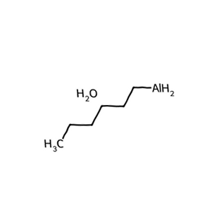 CCCCC[CH2][AlH2].O